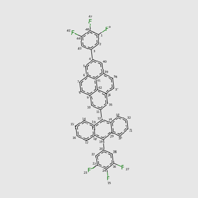 Fc1cc(-c2cc3ccc4cc(-c5c6ccccc6c(-c6cc(F)c(F)c(F)c6)c6ccccc56)cc5ccc(c2)c3c45)cc(F)c1F